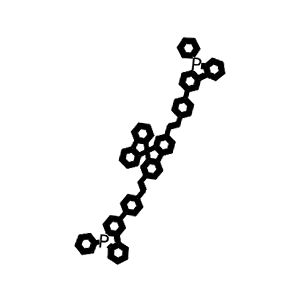 C(=C\c1ccc2c(c1)C1(c3ccccc3-c3ccccc31)c1cc(/C=C/c3ccc(-c4ccc5c(c4)c4ccccc4p5-c4ccccc4)cc3)ccc1-2)/c1ccc(-c2ccc3c(c2)c2ccccc2p3-c2ccccc2)cc1